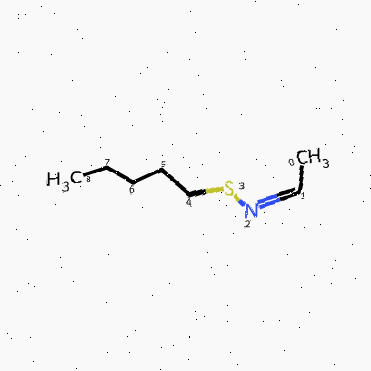 C/C=N\SCCCCC